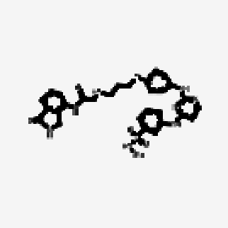 CC(C)(C)NS(=O)(=O)c1cccc(Nc2ccnc(Nc3ccc(OCCCNCC(=O)Nc4cccc5c4CNC5=O)cc3)n2)c1